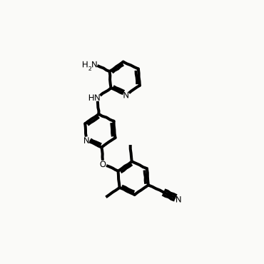 Cc1cc(C#N)cc(C)c1Oc1ccc(Nc2ncccc2N)cn1